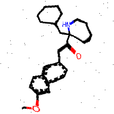 COc1ccc2cc(CC(=O)C3(CC4CCCCC4)CCCCN3)ccc2c1